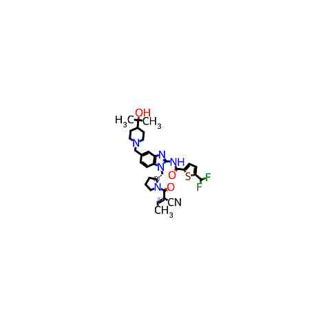 C/C=C(\C#N)C(=O)N1CCC[C@@H]1Cn1c(NC(=O)c2ccc(C(F)F)s2)nc2cc(CN3CCC(C(C)(C)O)CC3)ccc21